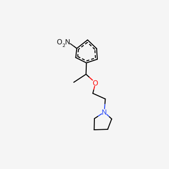 CC(OCCN1CCCC1)c1cccc([N+](=O)[O-])c1